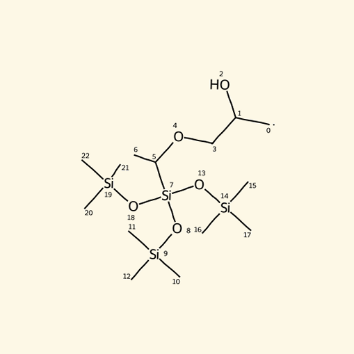 [CH2]C(O)COC(C)[Si](O[Si](C)(C)C)(O[Si](C)(C)C)O[Si](C)(C)C